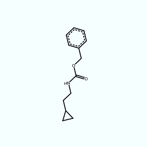 O=C(NCCC1CC1)OCc1ccccc1